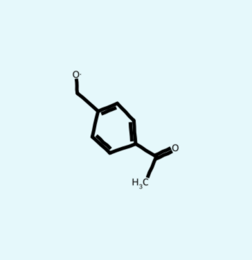 CC(=O)c1ccc(C[O])cc1